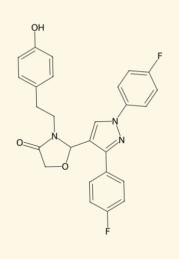 O=C1COC(c2cn(-c3ccc(F)cc3)nc2-c2ccc(F)cc2)N1CCc1ccc(O)cc1